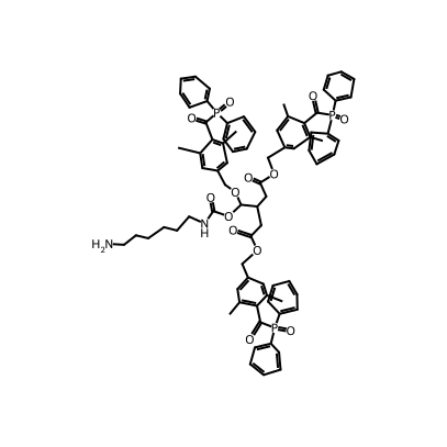 Cc1cc(COC(=O)CC(CC(=O)OCc2cc(C)c(C(=O)P(=O)(c3ccccc3)c3ccccc3)c(C)c2)C(OCc2cc(C)c(C(=O)P(=O)(c3ccccc3)c3ccccc3)c(C)c2)OC(=O)NCCCCCCN)cc(C)c1C(=O)P(=O)(c1ccccc1)c1ccccc1